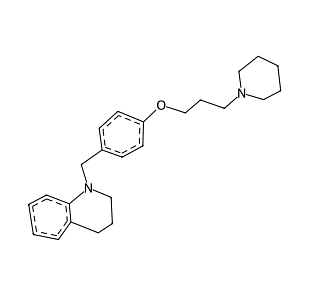 c1ccc2c(c1)CCCN2Cc1ccc(OCCCN2CCCCC2)cc1